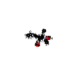 N#CC(C#N)=C1/C(=N/C2=CC3=C(c4sc5c(sc6cc(/C=C7/C(=O)c8cc(F)c(F)cc8C7=C(C#N)C#N)sc65)c4C3(C(=O)OCc3ccccc3)C(=O)OCc3ccccc3)C2(C(=O)OCc2ccccc2)C(=O)OCc2ccccc2)C(=S)c2cc(F)c(F)cc21